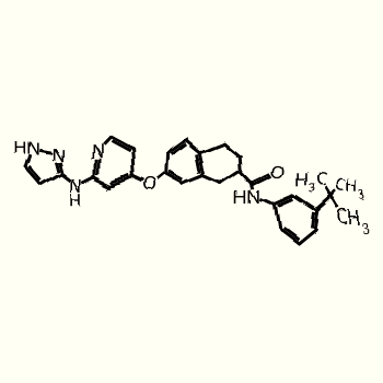 CC(C)(C)c1cccc(NC(=O)C2CCc3ccc(Oc4ccnc(Nc5cc[nH]n5)c4)cc3C2)c1